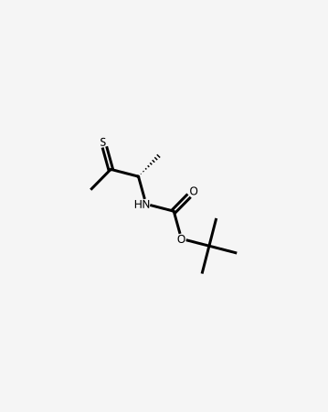 CC(=S)[C@H](C)NC(=O)OC(C)(C)C